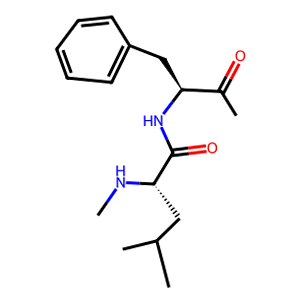 CN[C@@H](CC(C)C)C(=O)N[C@@H](Cc1ccccc1)C(C)=O